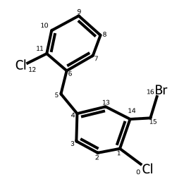 Clc1ccc(Cc2ccccc2Cl)cc1CBr